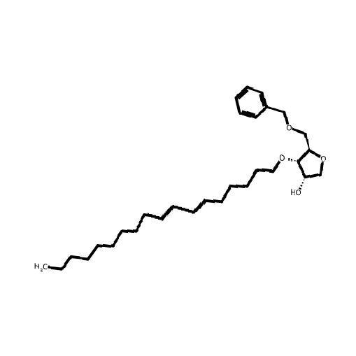 CCCCCCCCCCCCCCCCCCO[C@H]1[C@@H](O)CO[C@@H]1COCc1ccccc1